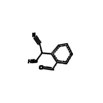 N#CC([SeH])c1ccccc1[C]=O